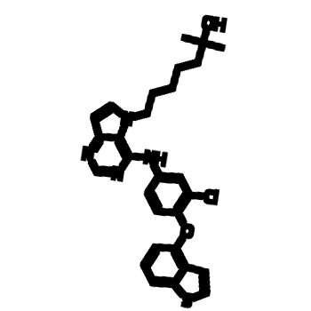 CC(C)(O)CCCCCn1ccc2ncnc(Nc3ccc(Oc4cccc5sccc45)c(Cl)c3)c21